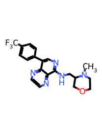 CN1CCOCC1CNc1ncc(-c2ccc(C(F)(F)F)cc2)c2nccnc12